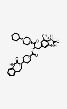 Cc1cc(CC(OC(=O)N2CCC(N3CCc4ccccc4NC3=O)CC2)C(=O)N2CCN(C3CCCCC3)CC2)cc2[nH]c(=O)[nH]c12